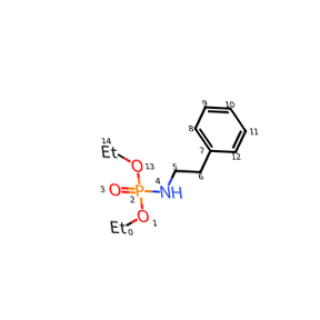 CCOP(=O)(NCCc1ccccc1)OCC